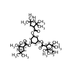 CC1(C)CC(C(=O)OC2CC(OC(=O)C3CC(C)(C)NC3(C)C)CC(OC(=O)C3CC(C)(C)N(O)C3(C)C)C2)C(C)(C)N1